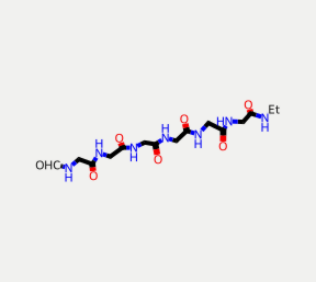 CCNC(=O)CNC(=O)CNC(=O)CNC(=O)CNC(=O)CNC(=O)CNC=O